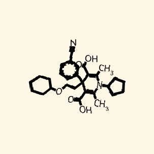 CC1=C(C(=O)O)C(CCOC2CCCCC2)(c2cccc(C#N)c2)C(C(=O)O)=C(C)N1C1CCCC1